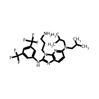 CC(C)CN(CC(C)C)c1ccc2nc(Nc3cc(C(F)(F)F)cc(C(F)(F)F)c3)n(CCCN)c2n1